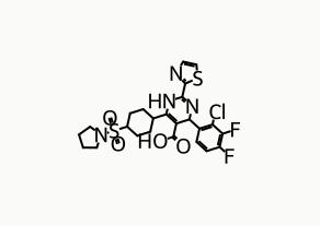 O=C(O)C1=C(C2CCC(S(=O)(=O)N3CCCC3)CC2)NC(c2nccs2)=NC1c1ccc(F)c(F)c1Cl